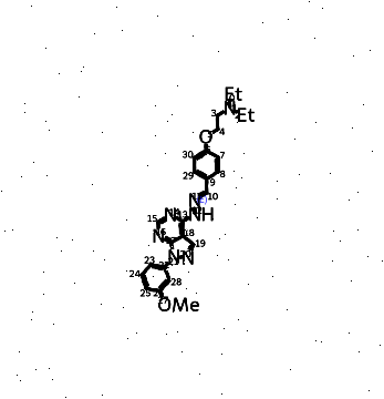 CCN(CC)CCOc1ccc(/C=N/Nc2ncnc3c2cnn3-c2cccc(OC)c2)cc1